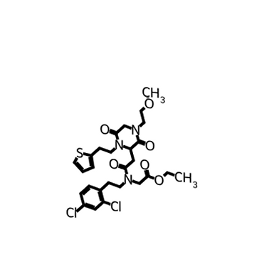 CCOC(=O)CN(CCc1ccc(Cl)cc1Cl)C(=O)CC1C(=O)N(CCOC)CC(=O)N1CCc1cccs1